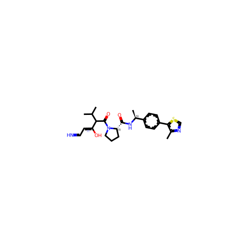 Cc1ncsc1-c1ccc([C@H](C)NC(=O)[C@@H]2CCCN2C(=O)C(/C(O)=C/C=N)C(C)C)cc1